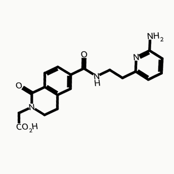 Nc1cccc(CCNC(=O)c2ccc3c(c2)CCN(CC(=O)O)C3=O)n1